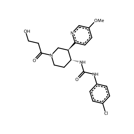 COc1ccc([C@@H]2CN(C(=O)CCO)CC[C@H]2NC(=O)Nc2ccc(Cl)cc2)nc1